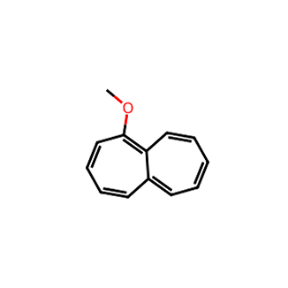 COC1=C2C=CC=CC=C2C=CC=C1